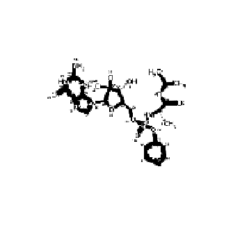 CC(C)OC(=O)[C@H](C)N[P@](=O)(OC[C@H]1O[C@@H](n2cnc3c(=O)[nH]c(N)nc32)[C@](C)(Cl)[C@@H]1O)Oc1ccccc1